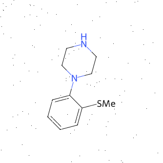 CSc1ccccc1N1CCNCC1